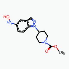 CC(C)(C)OC(=O)N1CCC(n2ncc3cc(NO)ccc32)CC1